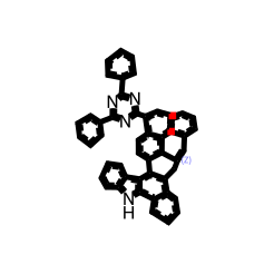 C(=C1\Cc2c(c3c4ccccc4[nH]c3c3ccccc23)-c2ccc3c(-c4nc(-c5ccccc5)nc(-c5ccccc5)n4)cccc3c21)/c1ccccc1